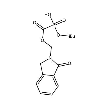 CCC(C)OP(=O)(O)C(=O)OCN1Cc2ccccc2C1=O